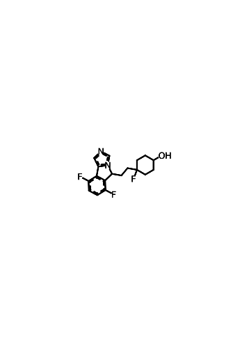 OC1CCC(F)(CCC2c3c(F)ccc(F)c3-c3cncn32)CC1